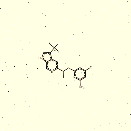 CC(Sc1nc(N)cc(Cl)n1)c1cc2c(C(F)(F)F)c[nH]c2cn1